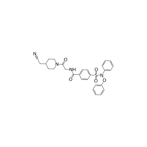 N#CCC1CCN(C(=O)CNC(=O)c2ccc(S(=O)(=O)N(Oc3ccccc3)c3ccccc3)cc2)CC1